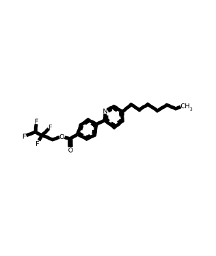 CCCCCCCc1ccc(-c2ccc(C(=O)OCC(F)(F)C(F)F)cc2)nc1